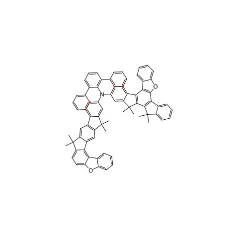 CC1(C)c2cc(N(c3ccc4c(c3)C(C)(C)c3c5c(c6oc7ccccc7c6c3-4)-c3ccccc3C5(C)C)c3c(-c4ccccc4)cccc3-c3ccccc3)ccc2-c2cc3c(cc21)-c1c(ccc2oc4ccccc4c12)C3(C)C